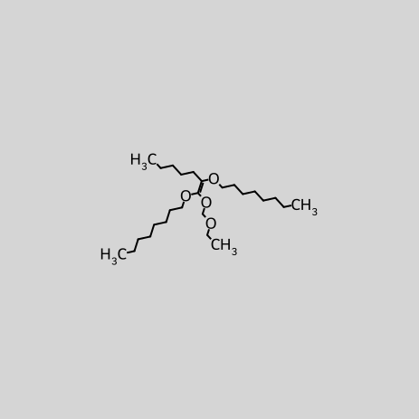 CCCCCCCCOC(CCCCC)=C(OCCCCCCCC)OCOCC